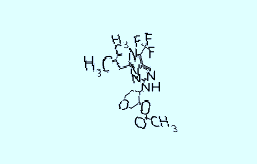 CC(=O)OC1COCCC1Nc1ncc2c(C(F)(F)F)nc(CC(C)C)n2n1